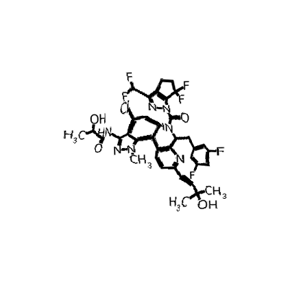 CC(O)C(=O)Nc1nn(C)c2c(-c3ccc(C#CC(C)(C)O)nc3C(Cc3cc(F)cc(F)c3)NC(=O)n3nc(C(F)F)c4c3C(F)(F)CC4)ccc(Cl)c12